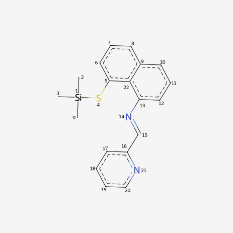 C[Si](C)(C)Sc1cccc2cccc(N=Cc3ccccn3)c12